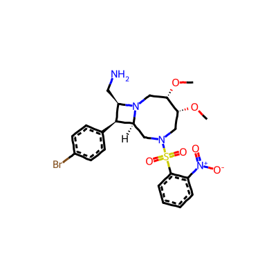 CO[C@H]1CN2[C@H](CN)[C@H](c3ccc(Br)cc3)[C@@H]2CN(S(=O)(=O)c2ccccc2[N+](=O)[O-])C[C@H]1OC